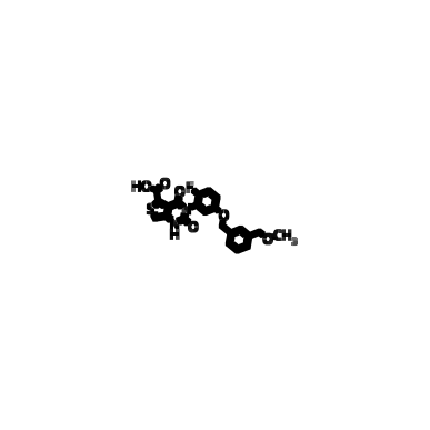 COCc1cccc(COc2ccc(F)c(-n3c(=O)[nH]c4csc(C(=O)O)c4c3=O)c2)c1